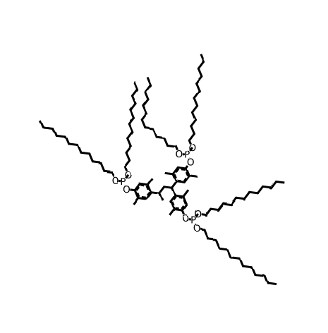 CCCCCCCCCCCCCOP(OCCCCCCCCCCCCC)Oc1cc(C)c(C(C)CC(c2cc(C)c(OP(OCCCCCCCCCCCCC)OCCCCCCCCCCCCC)cc2C)c2cc(C)c(OP(OCCCCCCCCCCCCC)OCCCCCCCCCCCCC)cc2C)cc1C